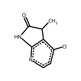 CC1C(=O)Nc2nccc(Cl)c21